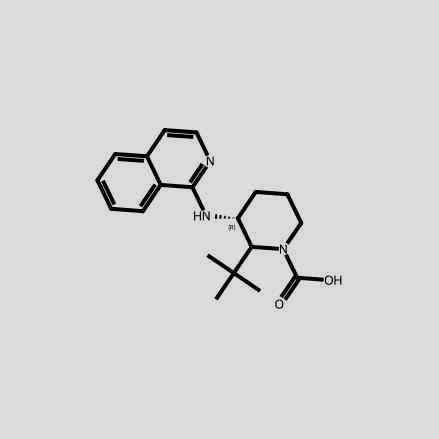 CC(C)(C)C1[C@H](Nc2nccc3ccccc23)CCCN1C(=O)O